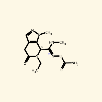 CCN1C(=O)Cc2cnn(C)c2[C@H]1/C(=N/OC(N)=O)NC